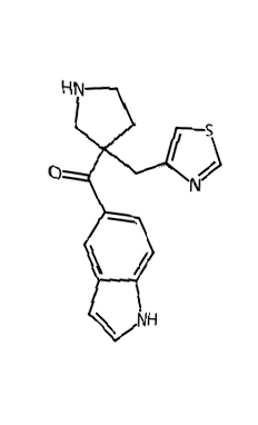 O=C(c1ccc2[nH]ccc2c1)C1(Cc2cscn2)CCNC1